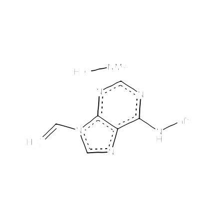 C=Cn1cnc2c(NCCC)ncnc21.CNC